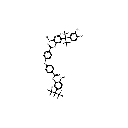 [2H]Oc1ccc(C(C)(C(F)(F)F)C(F)(F)F)cc1NC(=O)c1ccc(Oc2ccc(C(=O)Nc3cc(C(c4ccc(O)c(N)c4)(C(F)(F)F)C(F)(F)F)ccc3O[2H])cc2)cc1